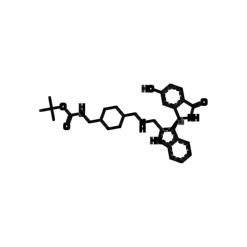 CC(C)(C)OC(=O)NCC1CCC(CNCc2[nH]c3ccccc3c2[C@@H]2NC(=O)c3ccc(O)cc32)CC1